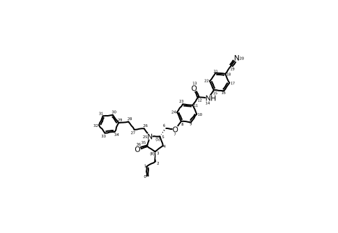 C=CC[C@@H]1C[C@@H](COc2ccc(C(=O)Nc3ccc(C#N)cc3)cc2)N(CCCc2ccccc2)C1=O